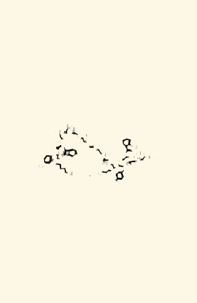 CC[C@H](C)[C@H](N)C(=O)N[C@@H](C)C(=O)N[C@@H](Cc1c[nH]c2ccccc12)C(=O)N[C@@H](Cc1ccc(O)cc1)C(=O)N[C@@H](CCCCN)C(=O)NCC(=O)NCC(=O)NCC(=O)NCC(=O)NCC(=O)N[C@H](C(=O)N[C@@H](C)C(=O)N[C@@H](Cc1c[nH]c2ccccc12)C(=O)N[C@@H](Cc1ccc(O)cc1)C(=O)N[C@@H](CCCCN)C(=O)O)[C@@H](C)CC